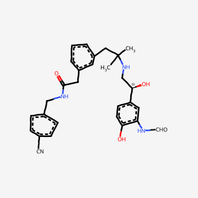 CC(C)(Cc1cccc(CC(=O)NCc2ccc(C#N)cc2)c1)NC[C@@H](O)c1ccc(O)c(NC=O)c1